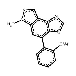 COc1ccccc1-c1cc2c(cnn2C)c2n[c]sc12